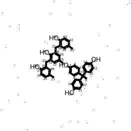 CC(c1ccc(O)cc1)(c1ccc(O)cc1)c1ccc(O)cc1.Cc1ccc(O)c(Cc2cc(C)cc(Cc3cc(C)ccc3O)c2O)c1